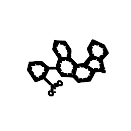 O=[N+]([O-])c1ccccc1-c1cc2ccc3sc4ccccc4c3c2c2ccccc12